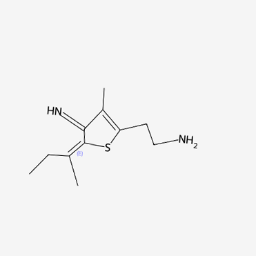 CC/C(C)=C1/SC(CCN)=C(C)C1=N